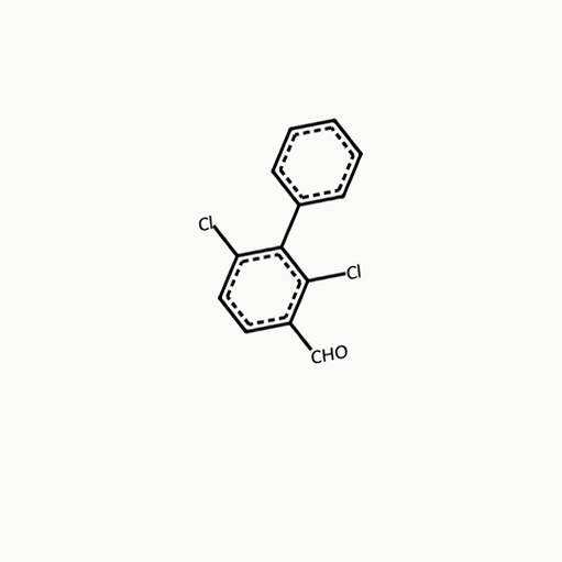 O=Cc1ccc(Cl)c(-c2ccccc2)c1Cl